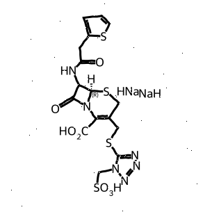 O=C(Cc1cccs1)NC1C(=O)N2C(C(=O)O)=C(CSc3nnnn3CS(=O)(=O)O)CS[C@H]12.[NaH].[NaH]